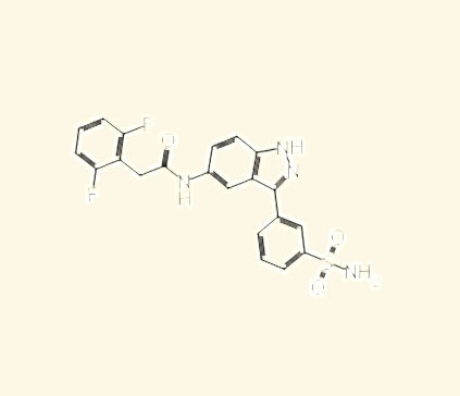 NS(=O)(=O)c1cccc(-c2n[nH]c3ccc(NC(=O)Cc4c(F)cccc4F)cc23)c1